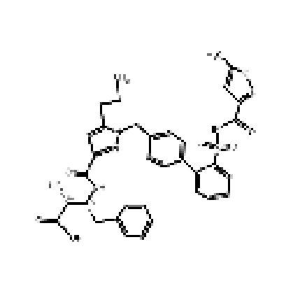 CCCc1cc(C(=O)N[C@H](Cc2ccccc2)[C@@H](O)C(=O)O)nn1Cc1ccc(-c2ccccc2S(=O)(=O)NC(=O)c2cc(C)on2)cc1